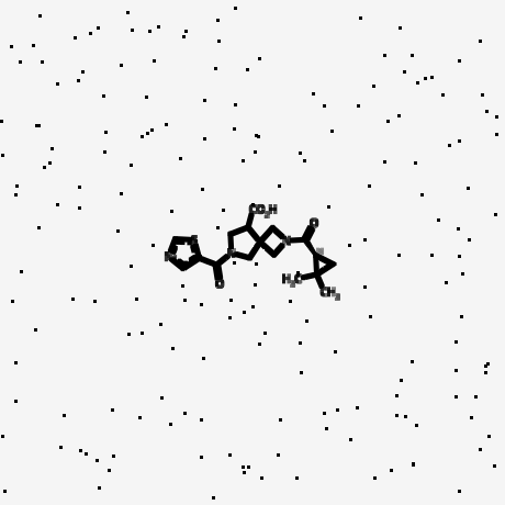 CC1(C)C[C@@H]1C(=O)N1CC2(CN(C(=O)c3cncs3)CC2C(=O)O)C1